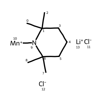 CC1(C)CCCC(C)(C)[N]1[Mn+].[Cl-].[Cl-].[Li+]